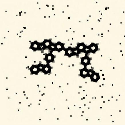 c1ccc2c(c1)oc1c(-c3ccc(-n4c5ccccc5c5ccc6c7cc(-c8ccc9c%10ccc%11c%12ccccc%12oc%11c%10n(-c%10ccc(-c%11cccc%12c%11sc%11ccccc%11%12)cc%10)c9c8)ccc7oc6c54)cc3)cccc12